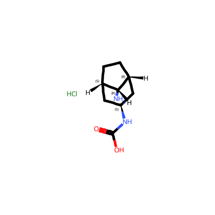 Cl.N[C@H]1[C@@H]2CC[C@H]1C[C@H](NC(=O)O)C2